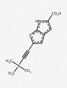 C[Si](C)(C)C#Cc1cc2cc(C(=O)O)[nH]c2s1